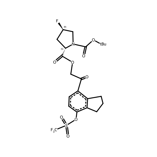 CC(C)(C)OC(=O)N1C[C@H](F)C[C@H]1C(=O)OCC(=O)c1ccc(OS(=O)(=O)C(F)(F)F)c2c1CCC2